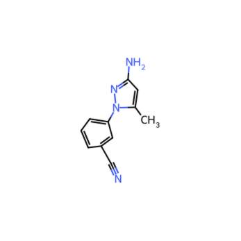 Cc1cc(N)nn1-c1cccc(C#N)c1